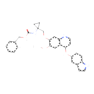 COc1cc2c(Oc3ccc4[nH]ccc4c3)ccnc2cc1OCC1(NC(=O)OCc2ccccc2)CC1